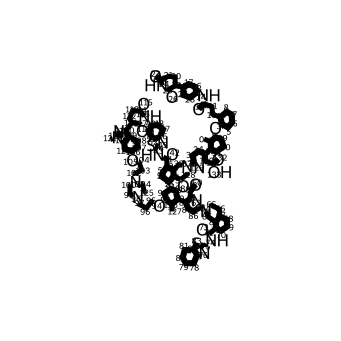 Cc1c(Oc2ccccc2CCC(=O)Nc2ccc(C3CCC(=O)NC3=O)cc2)cccc1-c1ccc(N2Cc3c(C(=O)Nc4nc5ccccc5s4)cccc3C(OC(=O)c3nc(N4CCc5cccc(C(=O)Nc6nc7ccccc7s6)c5C4)ccc3-c3cccc(OCCCN4CCN(CCCOc5ccc6c(C7CCC(=O)NC7=O)nn(C)c6c5)CC4)c3C)C2)nc1C(=O)O